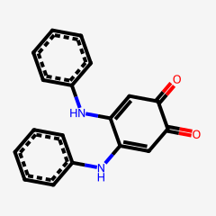 O=C1C=C(Nc2ccccc2)C(Nc2ccccc2)=CC1=O